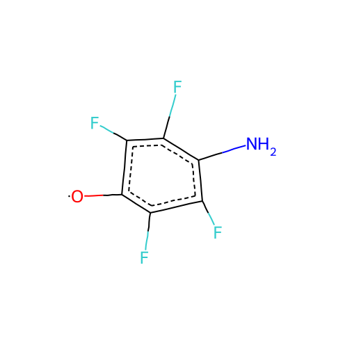 Nc1c(F)c(F)c([O])c(F)c1F